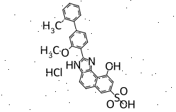 COc1cc(-c2ccccc2C)ccc1-c1nc2c(ccc3cc(S(=O)(=O)O)cc(O)c32)[nH]1.Cl